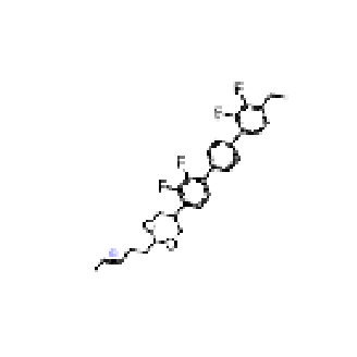 C/C=C/CCC1OCC(c2ccc(-c3ccc(-c4ccc(CC)c(F)c4F)cc3)c(F)c2F)CO1